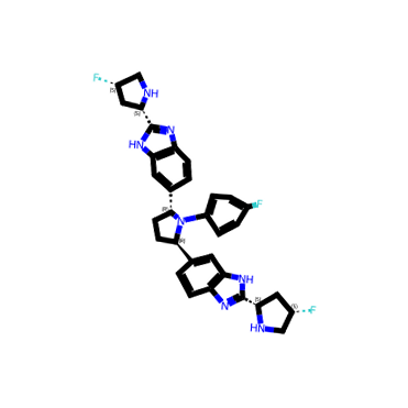 Fc1ccc(N2[C@@H](c3ccc4nc([C@@H]5C[C@H](F)CN5)[nH]c4c3)CC[C@@H]2c2ccc3nc([C@@H]4C[C@H](F)CN4)[nH]c3c2)cc1